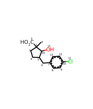 CC1(C(=O)O)CCC(Cc2ccc(Cl)cc2)C1O